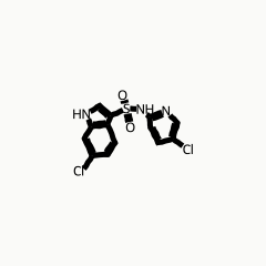 O=S(=O)(Nc1ccc(Cl)cn1)c1c[nH]c2cc(Cl)ccc12